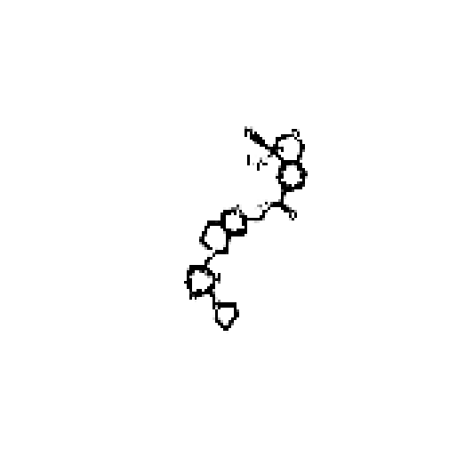 C[C@@]1(C#N)COCc2ccc(C(=O)NCc3cc4c(cn3)CCN(c3ccnc(N5CCCC5)n3)C4)cc21